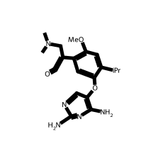 COc1cc(C(C)C)c(Oc2cnc(N)nc2N)cc1C(=C=O)CN(C)C